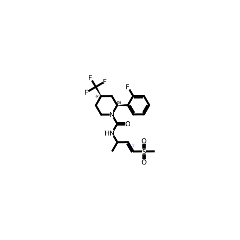 CC(/C=C/S(C)(=O)=O)NC(=O)N1CC[C@@H](C(F)(F)F)C[C@H]1c1ccccc1F